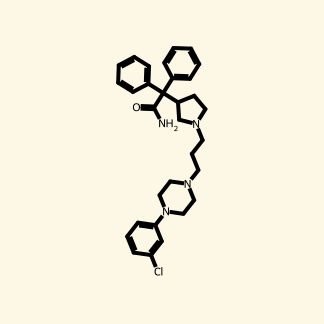 NC(=O)C(c1ccccc1)(c1ccccc1)C1CCN(CCCN2CCN(c3cccc(Cl)c3)CC2)C1